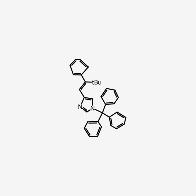 CC(C)(C)C(=Cc1cn(C(c2ccccc2)(c2ccccc2)c2ccccc2)cn1)c1ccccc1